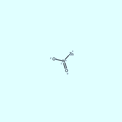 O=[N+]([O-])[Zn]